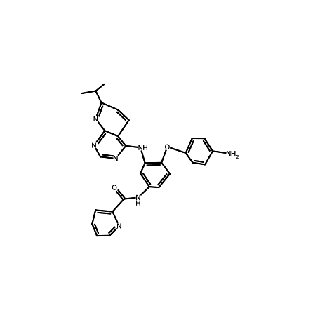 CC(C)c1ccc2c(Nc3cc(NC(=O)c4ccccn4)ccc3Oc3ccc(N)cc3)ncnc2n1